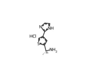 C[C@@H](N)c1cc(-c2ncc[nH]2)cs1.Cl